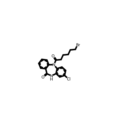 O=C1Nc2cc(Cl)ccc2N(C(=O)CCCCCBr)c2ccccc21